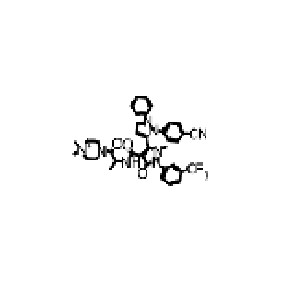 CC(NC(=O)c1c(-c2ccnn2-c2ccc(C#N)cc2)n(C)n(-c2cccc(C(F)(F)F)c2)c1=O)C(=O)N1CC[N+](C)(C)CC1.c1ccccc1